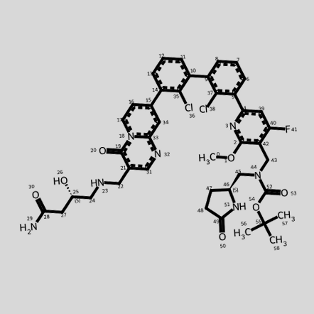 COc1nc(-c2cccc(-c3cccc(-c4ccn5c(=O)c(CNC[C@@H](O)CC(N)=O)cnc5c4)c3Cl)c2Cl)cc(F)c1CN(C[C@@H]1CCC(=O)N1)C(=O)OC(C)(C)C